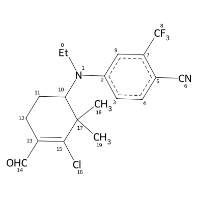 CCN(c1ccc(C#N)c(C(F)(F)F)c1)C1CCC(C=O)=C(Cl)C1(C)C